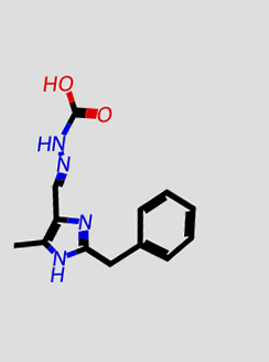 Cc1[nH]c(Cc2ccccc2)nc1C=NNC(=O)O